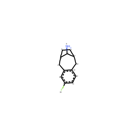 NC1C2CCC1Cc1cc(F)ccc1C2